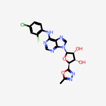 Cc1nnc([C@H]2O[C@@H](n3cnc4c(Nc5ccc(Cl)cc5F)ncnc43)[C@H](O)[C@@H]2O)o1